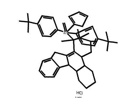 Cl.Cl.[CH2]=[Zr]([C]1=CC=CC1)([c]1ccc(C(C)(C)C)cc1)([c]1ccc(C(C)(C)C)cc1)[C]1(C)C2=C3Cc4ccccc4C3C3CCCCC3C2CC(C)C1(C)C